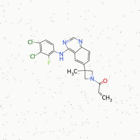 C=CC(=O)N1CC(C)(c2ccc3ncnc(Nc4ccc(Cl)c(Cl)c4F)c3c2)C1